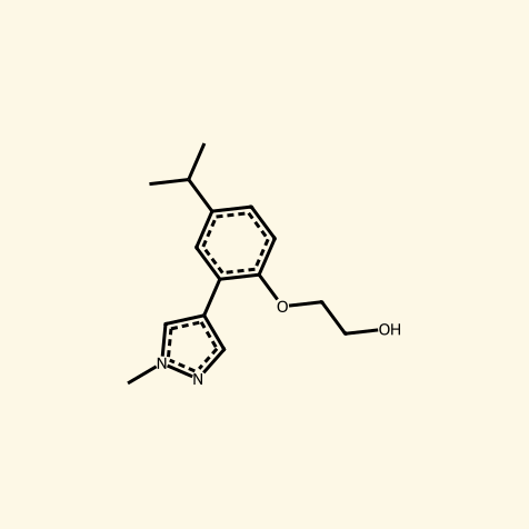 CC(C)c1ccc(OCCO)c(-c2cnn(C)c2)c1